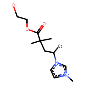 CCC(CC(C)(C)C(=O)OCCO)n1cc[n+](C)c1